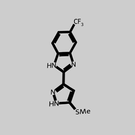 CSc1cc(-c2nc3cc(C(F)(F)F)ccc3[nH]2)n[nH]1